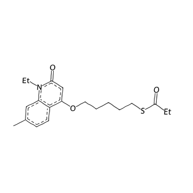 CCC(=O)SCCCCCOc1cc(=O)n(CC)c2cc(C)ccc12